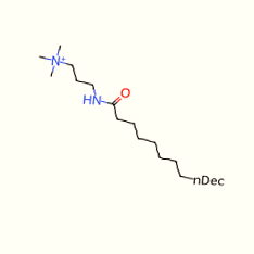 CCCCCCCCCCCCCCCCCC(=O)NCCC[N+](C)(C)C